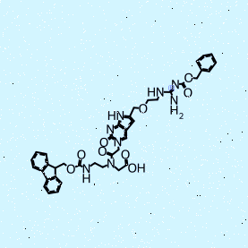 N/C(=N\C(=O)OCc1ccccc1)NCCOCc1cc2cn(CC(=O)N(CCNC(=O)OCC3c4ccccc4-c4ccccc43)CC(=O)O)c(=O)nc2[nH]1